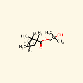 CCC(C)(C)CC(C)(C(=O)OC[Si](C)(C)O)C(C)(C)CC